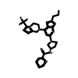 CCCc1cc2c(N3CCn4c(nnc4C(F)(F)F)C3)nc(N3CC[C@H](NC(=O)c4ccccn4)C3)nc2s1